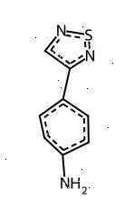 Nc1ccc(-c2cnsn2)cc1